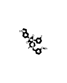 CC(C)Oc1cccc(CN2CC[C@@]3(C[C@@H]2C)C(=O)N(c2ccc4[nH]ccc4c2)C(=O)N3c2cccc(F)c2)c1